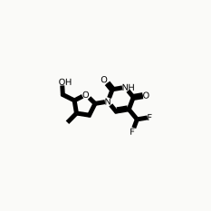 CC1CC(n2cc(C(F)F)c(=O)[nH]c2=O)OC1CO